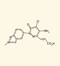 Cn1cc2cc(-n3nc(/C=C/C(=O)O)c(N)c(Cl)c3=O)ccc2n1